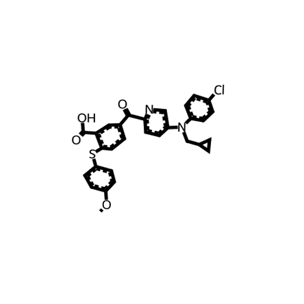 COc1ccc(Sc2ccc(C(=O)c3ccc(N(CC4CC4)c4ccc(Cl)cc4)cn3)cc2C(=O)O)cc1